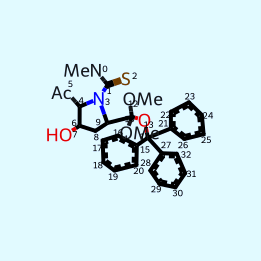 CNC(=S)N1C(C(C)=O)C(O)CC1C(OC)(OC)OC(c1ccccc1)(c1ccccc1)c1ccccc1